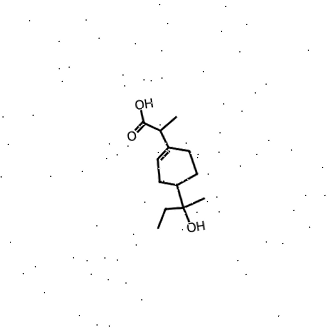 CCC(C)(O)C1CC=C(C(C)C(=O)O)CC1